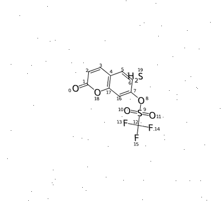 O=c1ccc2ccc(OS(=O)(=O)C(F)(F)F)cc2o1.S